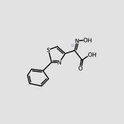 O=C(O)/C(=N\O)c1csc(-c2ccccc2)n1